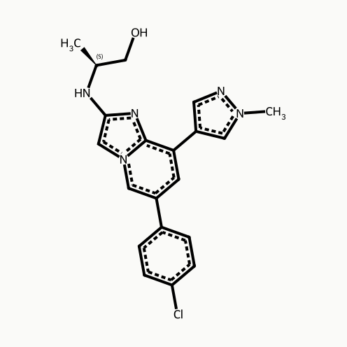 C[C@@H](CO)Nc1cn2cc(-c3ccc(Cl)cc3)cc(-c3cnn(C)c3)c2n1